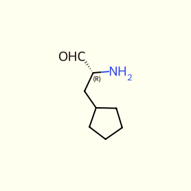 N[C@@H](C=O)CC1CCCC1